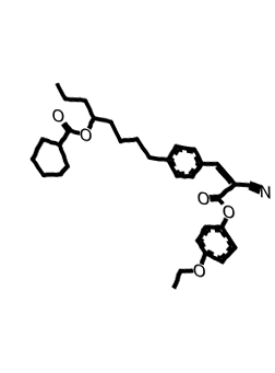 CCCC(CCCCc1ccc(C=C(C#N)C(=O)Oc2ccc(OCC)cc2)cc1)OC(=O)C1CCCCC1